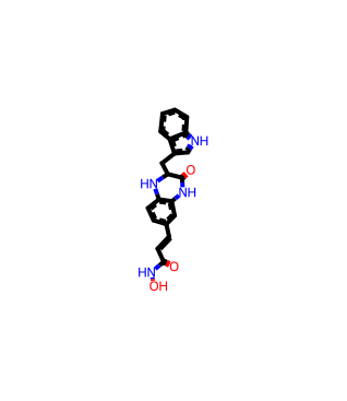 O=C(C=Cc1ccc2c(c1)NC(=O)C(Cc1c[nH]c3ccccc13)N2)NO